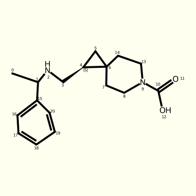 CC(NC[C@H]1CC12CCN(C(=O)O)CC2)c1ccccc1